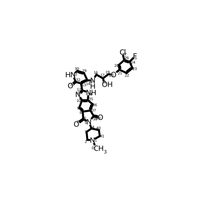 CN1CCC(N2C(=O)c3cc4nc(-c5c(NCC(O)COc6ccc(F)c(Cl)c6)cc[nH]c5=O)[nH]c4cc3C2=O)CC1